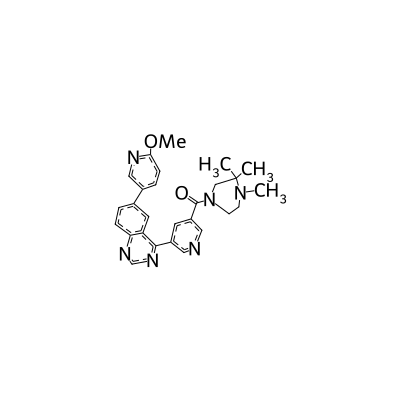 COc1ccc(-c2ccc3ncnc(-c4cncc(C(=O)N5CCN(C)C(C)(C)C5)c4)c3c2)cn1